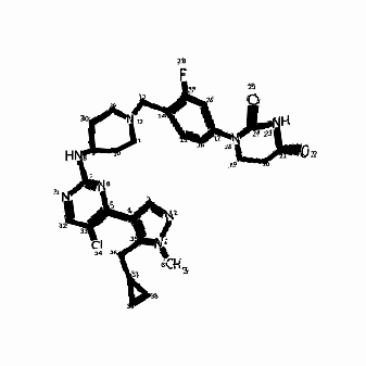 Cn1ncc(-c2nc(NC3CCN(Cc4ccc(N5CCC(=O)NC5=O)cc4F)CC3)ncc2Cl)c1CC1CC1